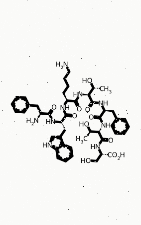 C[C@@H](O)[C@H](NC(=O)[C@H](Cc1ccccc1)NC(=O)[C@@H](NC(=O)[C@H](CCCCN)NC(=O)[C@H](Cc1c[nH]c2ccccc12)NC(=O)[C@@H](N)Cc1ccccc1)[C@@H](C)O)C(=O)N[C@@H](CO)C(=O)O